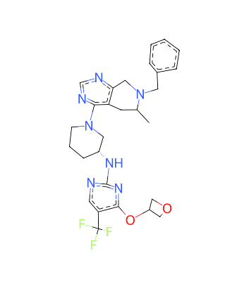 CC1Cc2c(ncnc2N2CCC[C@@H](Nc3ncc(C(F)(F)F)c(OC4COC4)n3)C2)CN1Cc1ccccc1